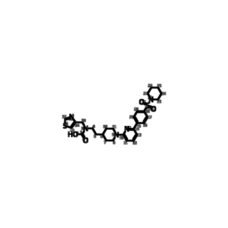 O=C(O)N(CCC1CCN(c2cccc(-c3ccc(S(=O)(=O)N4CCCCC4)cc3)n2)CC1)Cc1cscn1